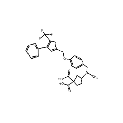 CN(Cc1ccc(OCc2cc(-c3ccccc3)c(C(F)(F)F)s2)cc1)C1CCC(C(=O)O)(C(=O)O)C1